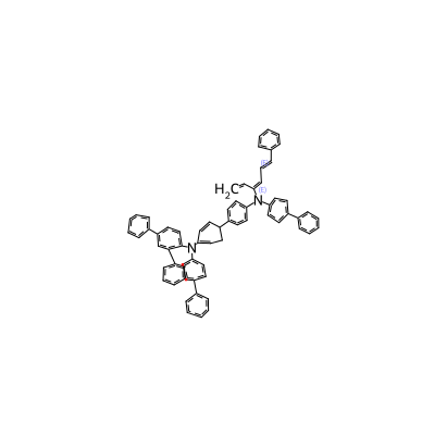 C=C/C(=C\C=C\c1ccccc1)N(c1ccc(-c2ccccc2)cc1)c1ccc(C2C=CC(N(c3ccc(-c4ccccc4)cc3)c3ccc(-c4ccccc4)cc3-c3ccccc3)=CC2)cc1